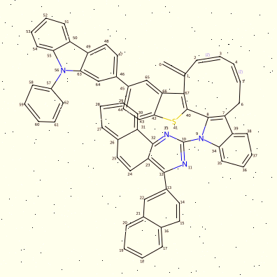 C=C1/C=C\C=C/Cc2c(n(-c3nc(-c4ccc5ccccc5c4)c4ccc5ccccc5c4n3)c3ccccc23)-c2sc3ccc(-c4ccc5c6ccccc6n(-c6ccccc6)c5c4)cc3c21